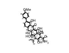 COc1ccc(-c2ccc3c(c2O)C(=O)C2=C(O)[C@@]4(O)C(=O)C(C(N)=O)=C(O)[C@H](N(C)C)[C@H]4[C@H](O)[C@H]2[C@@H]3C)cc1